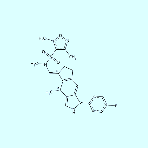 Cc1noc(C)c1S(=O)(=O)N(C)C[C@H]1CCC2=C1[C@@H](C)C1=CNN(c3ccc(F)cc3)C1=C2